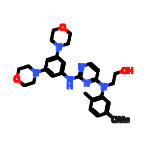 COc1ccc(C)c(N(CCO)c2ccnc(Nc3cc(N4CCOCC4)cc(N4CCOCC4)c3)n2)c1